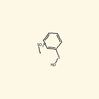 CS(=O)(=O)O.OSc1ccccc1